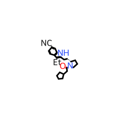 CCc1c(CC[C@@H]2CCCN2C(=O)CC2CCCC2)[nH]c2cc(C#N)ccc12